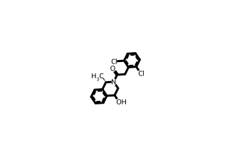 C[C@H]1c2ccccc2C(O)CN1C(=O)Cc1c(Cl)cccc1Cl